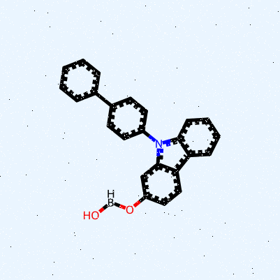 OBOc1ccc2c3ccccc3n(-c3ccc(-c4ccccc4)cc3)c2c1